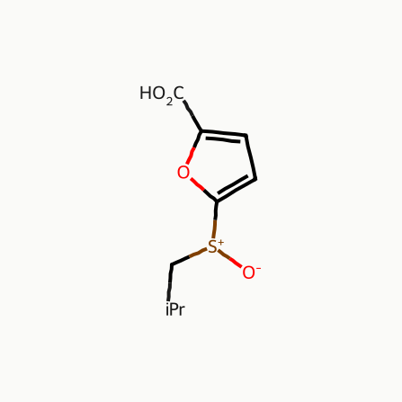 CC(C)C[S+]([O-])c1ccc(C(=O)O)o1